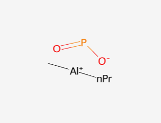 CC[CH2][Al+][CH3].O=P[O-]